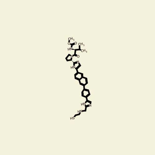 COC(=O)N[C@H](C(=O)N1CCC[C@H]1c1ncc(-c2ccc3cc(-c4ccc(-c5cnc(CNCCS)[nH]5)cc4)ccc3c2)[nH]1)C(C)C